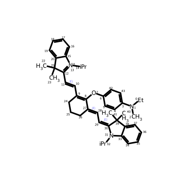 CCN(C)c1ccc(OC2=C(/C=C/C3=[N+](C(C)C)c4ccccc4C3(C)C)CCC/C2=C\C=C2\N(C(C)C)c3ccccc3C2(C)C)cc1